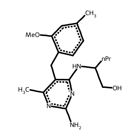 CCCC(CO)Nc1nc(N)nc(C)c1Cc1ccc(C)cc1OC